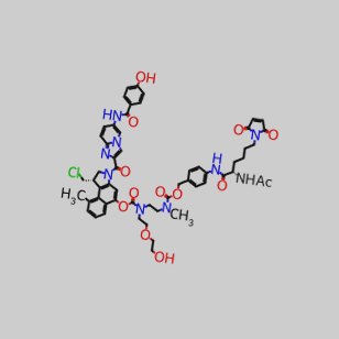 CC(=O)N[C@@H](CCCCN1C(=O)C=CC1=O)C(=O)Nc1ccc(COC(=O)N(C)CCN(CCOCCO)C(=O)Oc2cc3c(c4c(C)cccc24)[C@H](CCl)CN3C(=O)c2cn3cc(NC(=O)c4ccc(O)cc4)ccc3n2)cc1